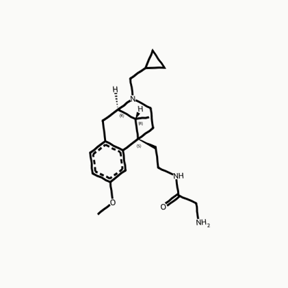 COc1ccc2c(c1)[C@@]1(CCNC(=O)CN)CCN(CC3CC3)[C@H](C2)[C@@H]1C